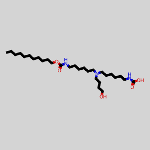 CCCCCCCCCCCOC(=O)NCCCCCCN(CCCCO)CCCCCCNC(=O)O